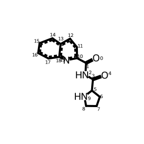 O=C(NC(=O)C1CCCN1)c1ccc2ccccc2n1